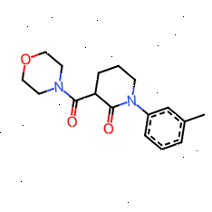 Cc1cccc(N2CCCC(C(=O)N3CCOCC3)C2=O)c1